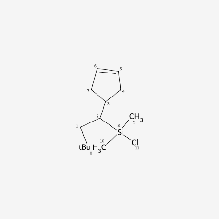 CC(C)(C)CC(C1CC=CC1)[Si](C)(C)Cl